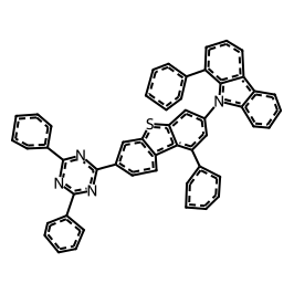 c1ccc(-c2nc(-c3ccccc3)nc(-c3ccc4c(c3)sc3cc(-n5c6ccccc6c6cccc(-c7ccccc7)c65)cc(-c5ccccc5)c34)n2)cc1